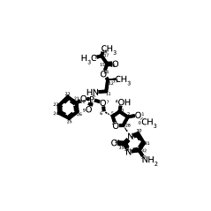 COC1C(O)[C@@H](COP(=O)(NC[C@H](C)OC(=O)C(C)C)Oc2ccccc2)O[C@H]1n1ccc(N)nc1=O